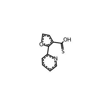 OC(=S)c1ccoc1-c1ccccn1